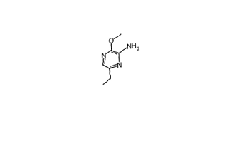 CCc1cnc(OC)c(N)n1